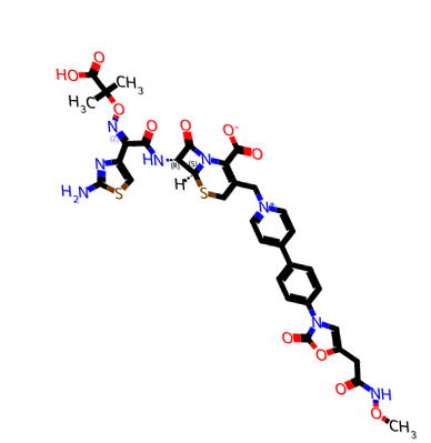 CONC(=O)Cc1cn(-c2ccc(-c3cc[n+](CC4=C(C(=O)[O-])N5C(=O)[C@@H](NC(=O)/C(=N\OC(C)(C)C(=O)O)c6csc(N)n6)[C@@H]5SC4)cc3)cc2)c(=O)o1